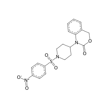 O=C1OCc2ccccc2N1C1CCN(S(=O)(=O)c2ccc([N+](=O)[O-])cc2)CC1